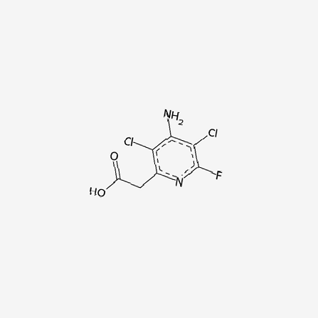 Nc1c(Cl)c(F)nc(CC(=O)O)c1Cl